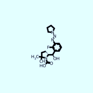 CC1(C)CC[C@H]([C@H](O)c2cccc(/N=N/N3CCCC3)c2F)N1C(=O)O